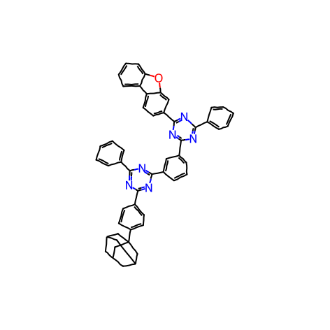 c1ccc(-c2nc(-c3ccc(C45CC6CC(CC(C6)C4)C5)cc3)nc(-c3cccc(-c4nc(-c5ccccc5)nc(-c5ccc6c(c5)oc5ccccc56)n4)c3)n2)cc1